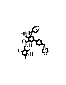 Cc1cc(=O)c(CNC(=O)c2cc(-c3ccc(CN4CCOCC4)cc3)cc(NC3CCOCC3)c2C=N)c(C)[nH]1